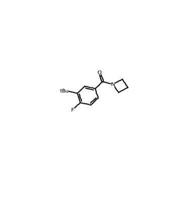 CC(C)(C)c1cc(C(=O)N2CCC2)ccc1F